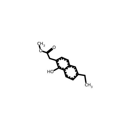 CCc1ccc2c(O)c(CC(=O)OC)ccc2c1